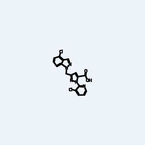 O=C(O)c1cc(Cn2ncc3c(Cl)cccc32)nn1-c1ncccc1Cl